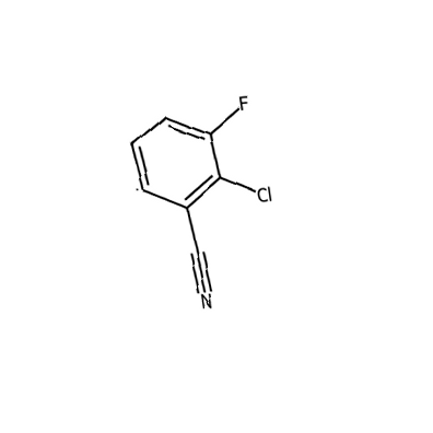 N#Cc1[c]ccc(F)c1Cl